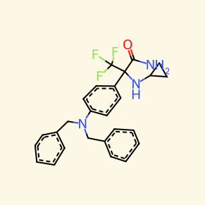 NC(=O)C(NC1CC1)(c1ccc(N(Cc2ccccc2)Cc2ccccc2)cc1)C(F)(F)F